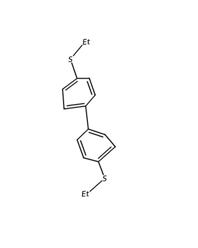 CCSc1ccc(-c2ccc(SCC)cc2)cc1